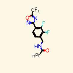 CCCC(=O)NCc1ccc(-c2noc(C(F)(F)F)n2)c(F)c1F